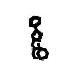 c1ccc(-c2nnc(O[C@H]3CC[N@@]4CCC[C@H]3C4)s2)cc1